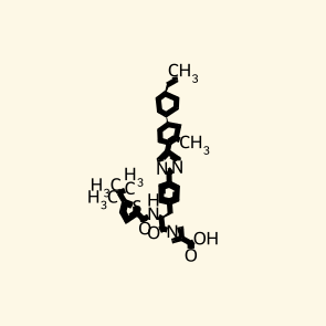 CCC[C@H]1CC[C@H](C2CCC(c3cnc(-c4ccc(C[C@H](NC(=O)c5ccc(C(C)(C)C)s5)C(=O)N5CC(C(=O)O)C5)cc4)nc3)=C(C)C2)CC1